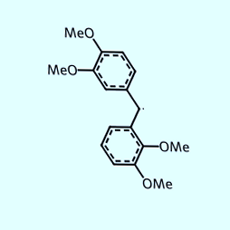 COc1ccc([CH]c2cccc(OC)c2OC)cc1OC